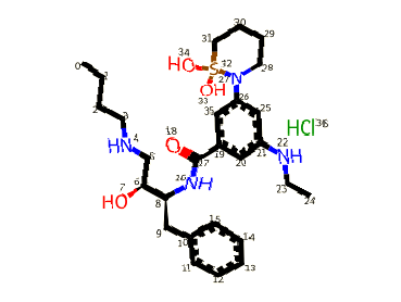 CCCCNC[C@H](O)[C@H](Cc1ccccc1)NC(=O)c1cc(NCC)cc(N2CCCCS2(O)O)c1.Cl